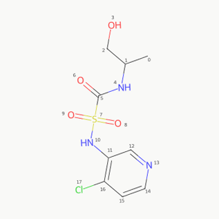 CC(CO)NC(=O)S(=O)(=O)Nc1cnccc1Cl